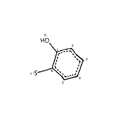 Oc1ccccc1[S]